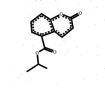 CC(C)OC(=O)c1cccc2oc(=O)ccc12